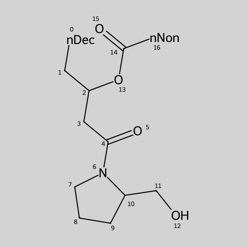 CCCCCCCCCCCC(CC(=O)N1CCCC1CO)OC(=O)CCCCCCCCC